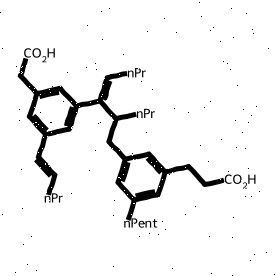 CCC/C=C/c1cc(CC(=O)O)cc(/C(=C/CCC)C(CCC)Cc2cc(CCCCC)cc(CCC(=O)O)c2)c1